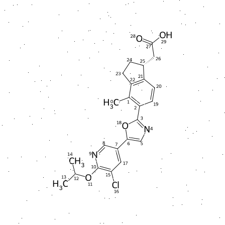 Cc1c(-c2ncc(-c3cnc(OC(C)C)c(Cl)c3)o2)ccc2c1CC[C@@H]2CC(=O)O